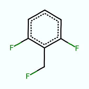 FCc1c(F)cccc1F